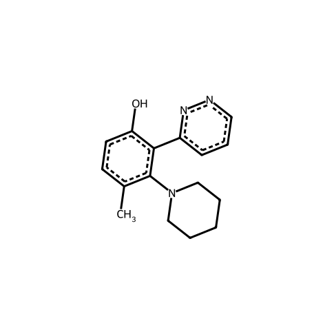 Cc1ccc(O)c(-c2cccnn2)c1N1CCCCC1